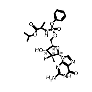 CC(C)OC(=O)C(C)NP(=O)(OC[C@H]1O[C@@H](n2cnc3c(=O)[nH]c(N)nc32)[C@](C)(F)[C@@H]1O)Oc1ccccc1